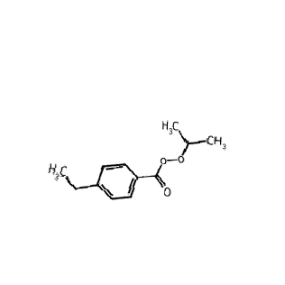 CCc1ccc(C(=O)OO[C](C)C)cc1